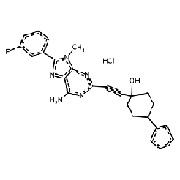 Cl.Cn1c(-c2cccc(F)c2)nc2c(N)nc(C#CC3(O)CCC(c4ccccc4)CC3)nc21